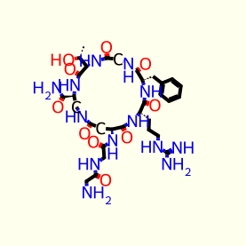 C[C@@H](O)[C@@H]1NC(=O)CNC(=O)[C@H](Cc2ccccc2)NC(=O)[C@H](CCCNC(=N)N)NC(=O)[C@@H](NC(=O)CNC(=O)CN)CC(=O)NC[C@@H](C(N)=O)NC1=O